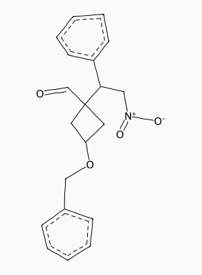 O=CC1(C(C[N+](=O)[O-])c2ccccc2)CC(OCc2ccccc2)C1